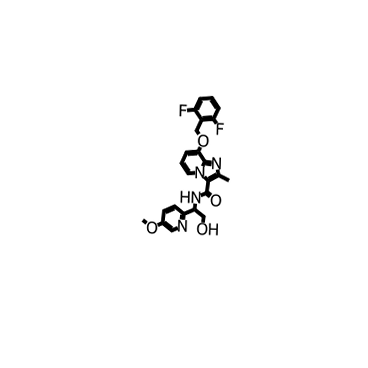 COc1ccc(C(CO)NC(=O)c2c(C)nc3c(OCc4c(F)cccc4F)cccn23)nc1